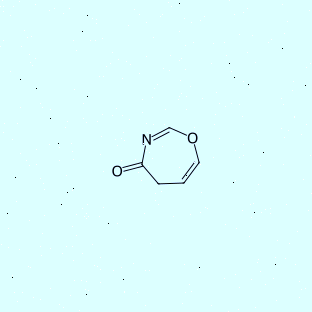 O=C1CC=COC=N1